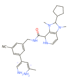 C/C(N)=C/C(=C\N)c1cc(C#N)cc(CNC(=O)C2NC=CC3=C2N(C)C(C2CCCC2)N3C)c1